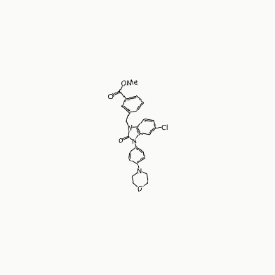 COC(=O)c1cccc(Cn2c(=O)n(-c3ccc(N4CCOCC4)cc3)c3cc(Cl)ccc32)c1